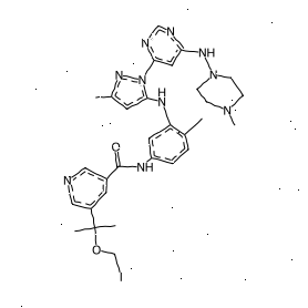 Cc1cc(Nc2cc(NC(=O)c3cncc(C(C)(C)OCI)c3)ccc2C)n(-c2cc(NN3CCN(C)CC3)ncn2)n1